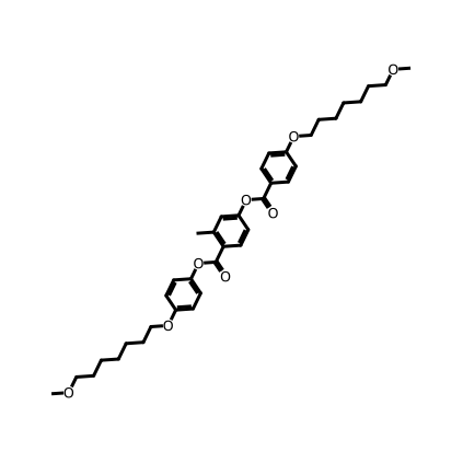 COCCCCCCCOc1ccc(OC(=O)c2ccc(OC(=O)c3ccc(OCCCCCCCOC)cc3)cc2C)cc1